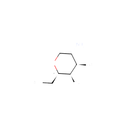 CC(=O)OC[C@H]1O[CH][C@H](N)[C@@H](OC(C)=O)[C@H]1OC(C)=O